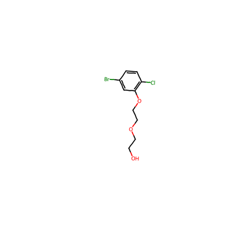 OCCOCCOc1cc(Br)ccc1Cl